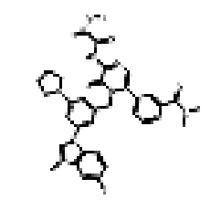 CN[C@@H](C)C(=O)Nc1ncc(-c2cccc(C(=O)N(C)C)c2)n(Cc2cc(N3CCCC3)cc(-n3cc(C)c4cc(F)ccc43)c2)c1=O